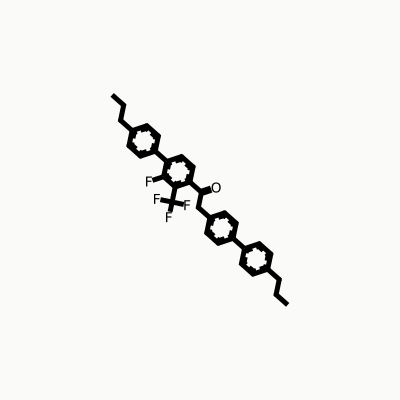 CCCc1ccc(-c2ccc(CC(=O)c3ccc(-c4ccc(CCC)cc4)c(F)c3C(F)(F)F)cc2)cc1